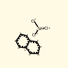 Cl[SiH](Cl)Cl.c1ccc2ccccc2c1